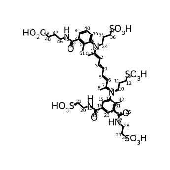 C\C(=C/C=C/C=C/C(C)=[N+](\CCCS(=O)(=O)O)c1cc(C(=O)NCCS(=O)(=O)O)cc(C(=O)NCCS(=O)(=O)O)c1C)N(CCCS(=O)(=O)O)c1cccc(C(=O)NCCCC(=O)O)c1C